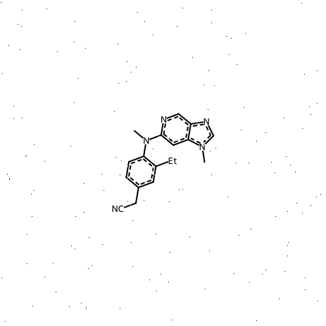 CCc1cc(CC#N)ccc1N(C)c1cc2c(cn1)ncn2C